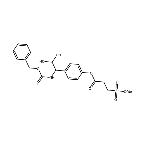 COS(=O)(=O)CCC(=O)Oc1ccc(C(NC(=O)OCc2ccccc2)C(O)O)cc1